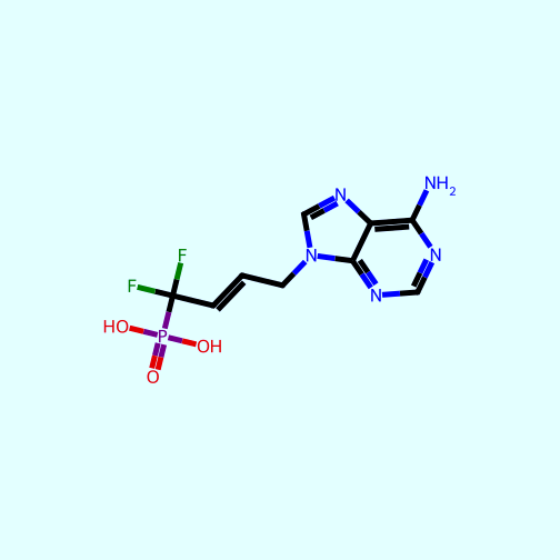 Nc1ncnc2c1ncn2CC=CC(F)(F)P(=O)(O)O